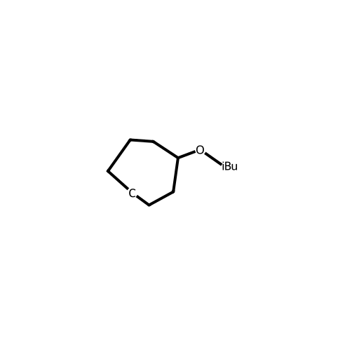 [CH2]CC(C)OC1CCCCCC1